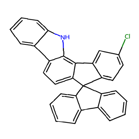 Clc1ccc2c(c1)-c1c(ccc3c1[nH]c1ccccc13)C21c2ccccc2-c2ccccc21